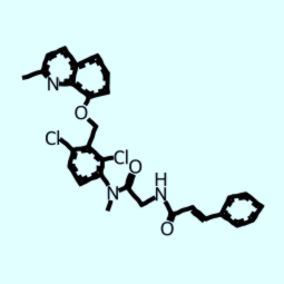 Cc1ccc2cccc(OCc3c(Cl)ccc(N(C)C(=O)CNC(=O)C=Cc4ccccc4)c3Cl)c2n1